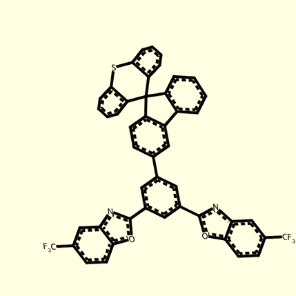 FC(F)(F)c1ccc2oc(-c3cc(-c4ccc5c(c4)-c4ccccc4C54c5ccccc5Sc5ccccc54)cc(-c4nc5cc(C(F)(F)F)ccc5o4)c3)nc2c1